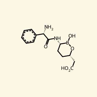 N[C@H](C(=O)N[C@H]1CC[C@@H](CC(=O)O)OB1O)c1ccccc1